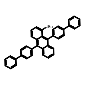 CC(C)(C)c1cccc2c(-c3ccc(-c4ccccc4)cc3)c3ccccc3c(-c3ccc(-c4ccccc4)cc3)c12